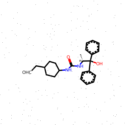 C[C@@H](NC(=O)NC1CCC(CC=O)CC1)C(O)(c1ccccc1)c1ccccc1